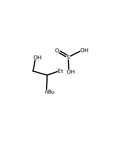 CCCCC(CC)CO.O=S(O)O